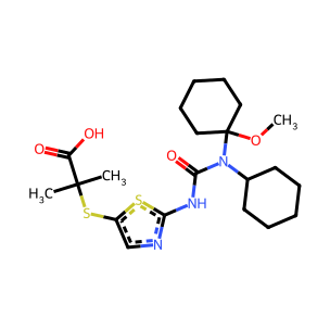 COC1(N(C(=O)Nc2ncc(SC(C)(C)C(=O)O)s2)C2CCCCC2)CCCCC1